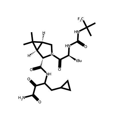 CC(C)(C)[C@H](NC(=O)NC(C)(C)C(F)(F)F)C(=O)N1C[C@H]2[C@@H]([C@H]1C(=O)NC(CC1CC1)C(=O)C(N)=O)C2(C)C